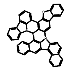 c1ccc2c3c4c(cc2c1)c1c2ccccc2ccc1n4-c1cc2c(oc4ccccc42)c2c1B3n1c3ccccc3c3cccc-2c31